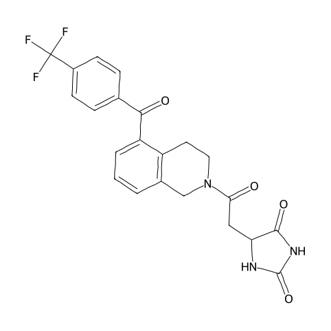 O=C1NC(=O)C(CC(=O)N2CCc3c(cccc3C(=O)c3ccc(C(F)(F)F)cc3)C2)N1